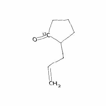 C=CCC1CCC[13C]1=O